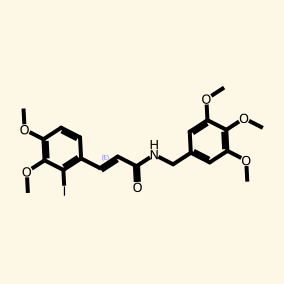 COc1cc(CNC(=O)/C=C/c2ccc(OC)c(OC)c2I)cc(OC)c1OC